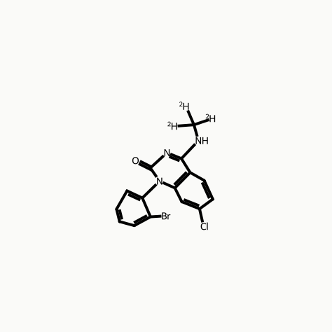 [2H]C([2H])([2H])Nc1nc(=O)n(-c2ccccc2Br)c2cc(Cl)ccc12